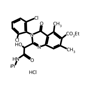 CCOC(=O)c1c(C)cc2nc(C(O)C(=O)NC(C)C)n(-c3c(Cl)cccc3Cl)c(=O)c2c1C.Cl